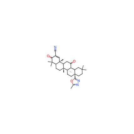 Cc1nnc([C@]23CCC(C)(C)CC2C2C(=O)CC4[C@@]5(C)C=C(C#N)C(=O)C(C)(C)C5CC[C@@]4(C)[C@]2(C)CC3)o1